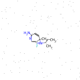 CC[C@H](C)NC1(C)C#CC(N)=NC=C1F